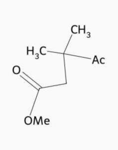 [CH2]C(=O)C(C)(C)CC(=O)OC